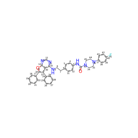 O=C(Nc1ccc(CCNc2ncnc3oc(-c4ccccc4)c(-c4ccccc4)c23)cc1)N1CCN(c2ccc(F)cc2)CC1